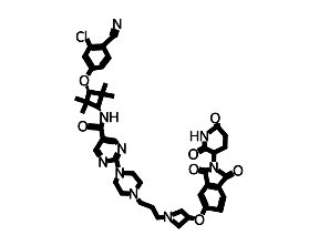 CC1(C)[C@H](NC(=O)c2cnc(N3CCN(CCCN4CC(Oc5ccc6c(c5)C(=O)N(C5CCC(=O)NC5=O)C6=O)C4)CC3)nc2)C(C)(C)[C@H]1Oc1ccc(C#N)c(Cl)c1